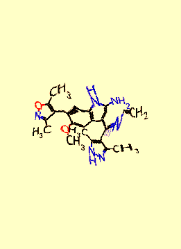 C=C/N=C(/c1c(C)n[nH]c1C)c1c(N)[nH]c2cc(-c3c(C)noc3C)c(OC)cc12